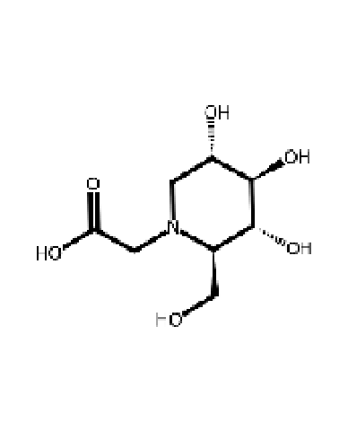 O=C(O)CN1C[C@H](O)[C@@H](O)[C@H](O)[C@H]1CO